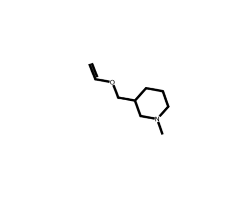 C=COCC1CCCN(C)C1